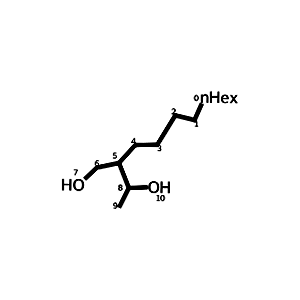 CCCCCCCCCCC(CO)C(C)O